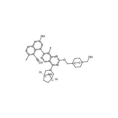 C#Cc1c(F)ccc2cc(O)cc(-c3ncc4c(N5C[C@H]6CC[C@@H](C5)N6)nc(OCC56CCC(CO)(CC5)CC6)nc4c3F)c12